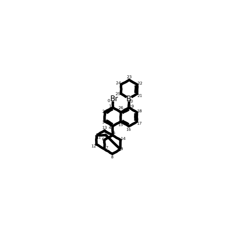 Brc1ccc(C23CC4CC(CC(C4)C2)C3)c2cccc(B3C=CCCC3)c12